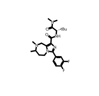 CC1CCn2c(-c3ccc(F)c(F)c3)nc(C(=O)N[C@H](C(=O)N(C)C)C(C)(C)C)c2CN1C